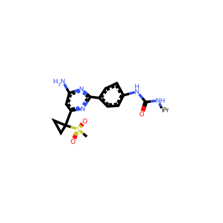 CC(C)NC(=O)Nc1ccc(-c2nc(N)cc(C3(S(C)(=O)=O)CC3)n2)cc1